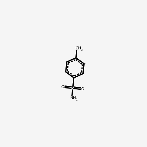 Cc1[c]cc(S(N)(=O)=O)cc1